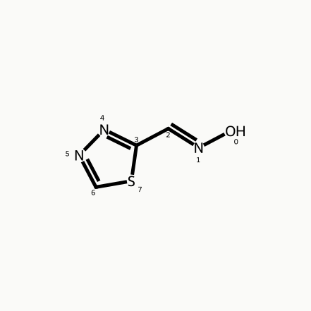 ON=Cc1nncs1